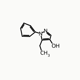 CCc1c(O)cnn1-c1ccccc1